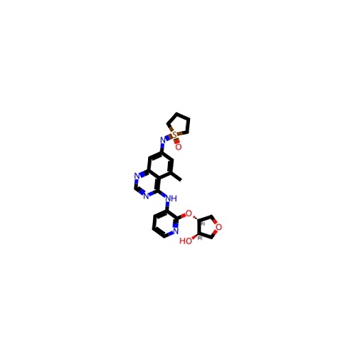 Cc1cc(N=S2(=O)CCCC2)cc2ncnc(Nc3cccnc3O[C@@H]3COC[C@H]3O)c12